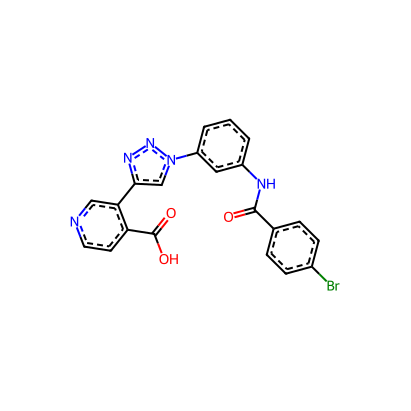 O=C(Nc1cccc(-n2cc(-c3cnccc3C(=O)O)nn2)c1)c1ccc(Br)cc1